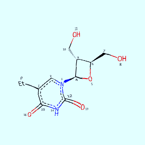 CCc1cn([C@@H]2O[C@H](CO)[C@H]2CO)c(=O)[nH]c1=O